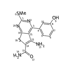 CSc1nc(-c2cccc(O)c2)c2c(N)c(C(N)=O)sc2n1